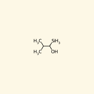 CC(C)[C](O)[SiH3]